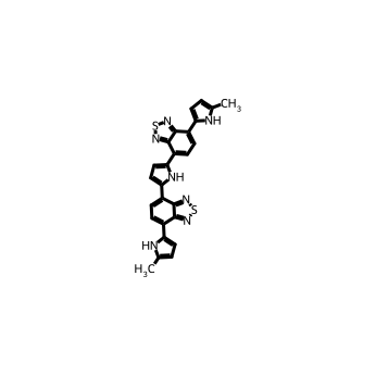 Cc1ccc(-c2ccc(-c3ccc(-c4ccc(-c5ccc(C)[nH]5)c5nsnc45)[nH]3)c3nsnc23)[nH]1